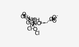 Cc1c(C(=O)NN2CCS(=O)(=O)CC2)nc(-c2ccc(Cl)cc2Cl)n1-c1ccc(C#CCCCO[N+](=O)[O-])cc1